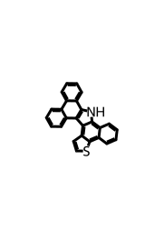 c1ccc2c(c1)c1ccccc1c1c2[nH]c2c3ccccc3c3sccc3c21